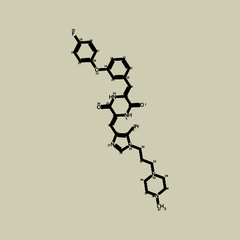 CC(C)c1c(/C=c2\[nH]c(=O)/c(=C/c3cccc(Oc4ccc(F)cc4)c3)[nH]c2=O)ncn1CCCN1CCN(C)CC1